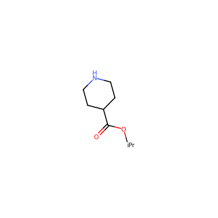 CC(C)OC(=O)C1CCNCC1